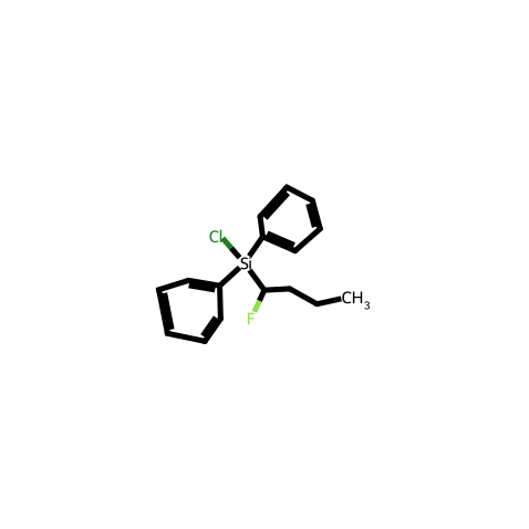 CCCC(F)[Si](Cl)(c1ccccc1)c1ccccc1